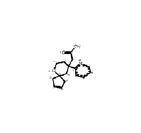 O=C(O)CC1(c2ccccn2)CCOC2(CC=CC2)C1